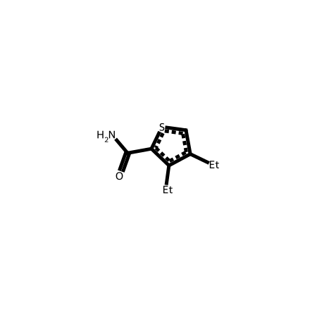 CCc1csc(C(N)=O)c1CC